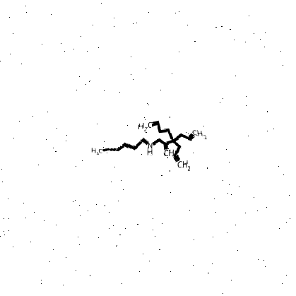 C=CCCC(CC=C)(CC=C)C(=C)CNCCCCCC